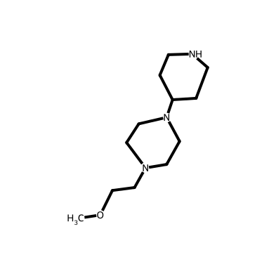 COCCN1CCN(C2CCNCC2)CC1